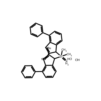 CC(C)(C)C1=Cc2c(-c3ccccc3)cccc2[CH]1[Zr]([CH3])([CH3])(=[SiH2])[CH]1C(C(C)(C)C)=Cc2c(-c3ccccc3)cccc21.Cl.Cl